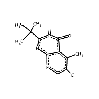 Cc1c(Cl)cnc2nc(C(C)(C)C)[nH]c(=O)c12